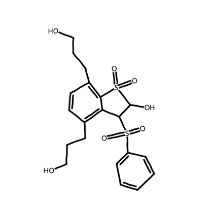 O=S1(=O)c2c(CCCO)ccc(CCCO)c2C(S(=O)(=O)c2ccccc2)C1O